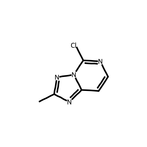 Cc1nc2ccnc(Cl)n2n1